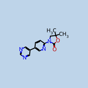 CC1(C)CN(c2ccc(-c3cncnc3)cn2)C(=O)O1